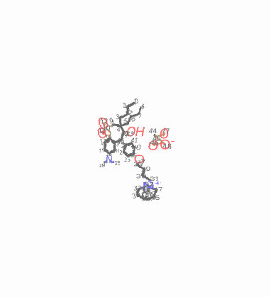 CCCCC1(CCCC)CS(=O)(=O)c2ccc(N(C)C)cc2[C@@H](c2ccc(OCCCC[N+]34CCC(CC3)CC4)cc2)[C@H]1O.CS(=O)(=O)[O-]